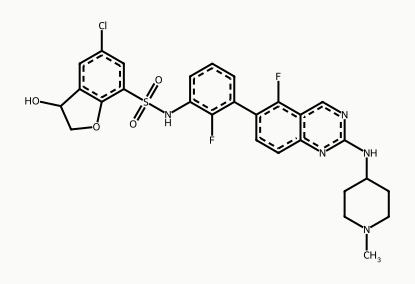 CN1CCC(Nc2ncc3c(F)c(-c4cccc(NS(=O)(=O)c5cc(Cl)cc6c5OCC6O)c4F)ccc3n2)CC1